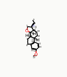 C/C=C1\CO[C@H]2[C@@H]3CCc4cc(OC)ccc4[C@H]3CC[C@]12C